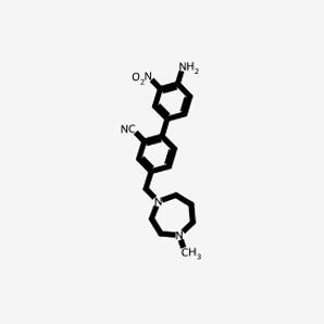 CN1CCCN(Cc2ccc(-c3ccc(N)c([N+](=O)[O-])c3)c(C#N)c2)CC1